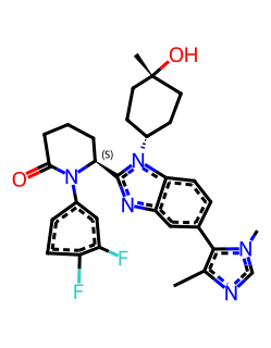 Cc1ncn(C)c1-c1ccc2c(c1)nc([C@@H]1CCCC(=O)N1c1ccc(F)c(F)c1)n2[C@H]1CC[C@@](C)(O)CC1